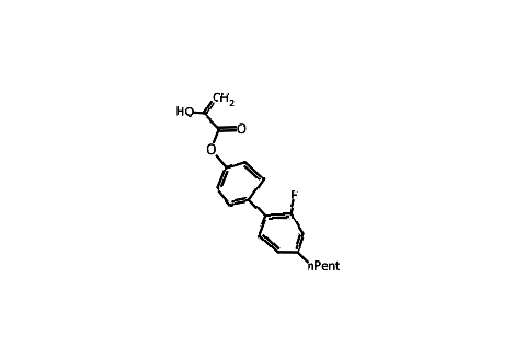 C=C(O)C(=O)Oc1ccc(-c2ccc(CCCCC)cc2F)cc1